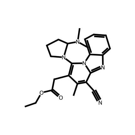 CCOC(=O)Cc1c(C)c(C#N)c2nc3ccccc3n2c1N1CCCC1N(C)C